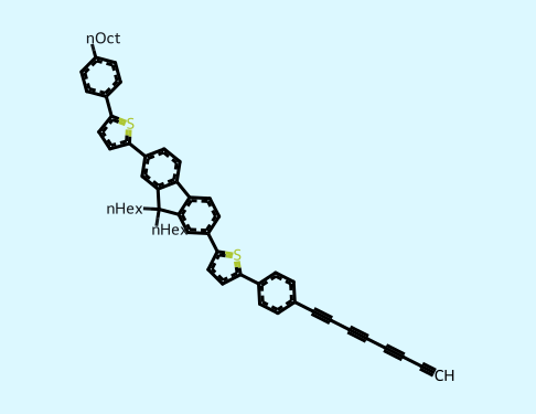 C#CC#CC#CC#Cc1ccc(-c2ccc(-c3ccc4c(c3)C(CCCCCC)(CCCCCC)c3cc(-c5ccc(-c6ccc(CCCCCCCC)cc6)s5)ccc3-4)s2)cc1